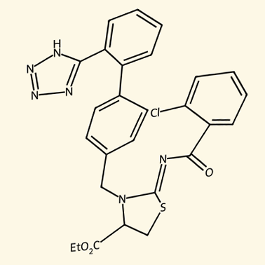 CCOC(=O)C1CSC(=NC(=O)c2ccccc2Cl)N1Cc1ccc(-c2ccccc2-c2nnn[nH]2)cc1